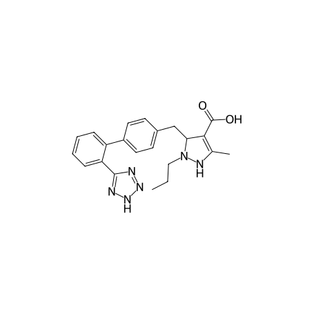 CCCN1NC(C)=C(C(=O)O)C1Cc1ccc(-c2ccccc2-c2nn[nH]n2)cc1